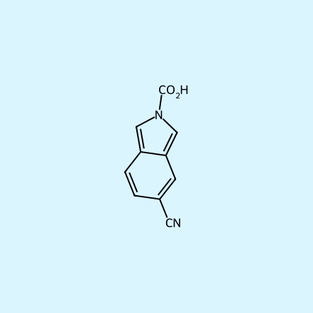 N#Cc1ccc2cn(C(=O)O)cc2c1